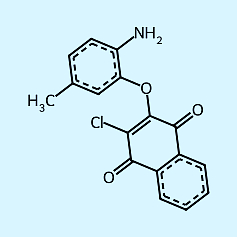 Cc1ccc(N)c(OC2=C(Cl)C(=O)c3ccccc3C2=O)c1